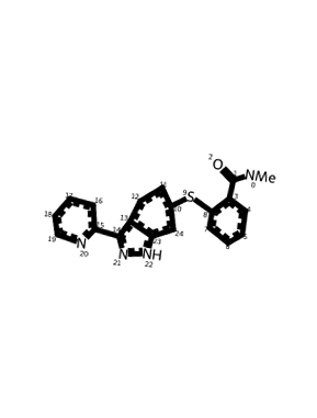 CNC(=O)c1ccccc1Sc1ccc2c(-c3ccccn3)n[nH]c2c1